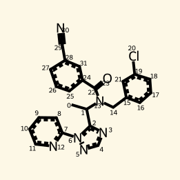 CC(c1ncnn1-c1ccccn1)N(Cc1cccc(Cl)c1)C(=O)c1cccc(C#N)c1